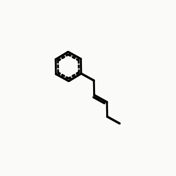 CCC=CCc1ccccc1